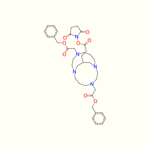 O=C(CN1CCCN2CCN(CC(=O)OCc3ccccc3)CCCN(CC1)CC(CCC(=O)ON1C(=O)CCC1=O)C2)OCc1ccccc1